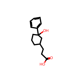 O=C(O)CCC1CCCC(O)(c2ccccc2)C1